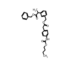 CCCCOC(=O)Nc1ccc(CC(=O)OCc2cccc(C(C)C(=O)OCc3ccccc3)c2)cc1